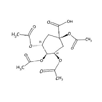 CC(=O)O[C@@H]1C[C@](OC(C)=O)(C(=O)O)C[C@@H](OC(C)=O)[C@H]1OC(C)=O